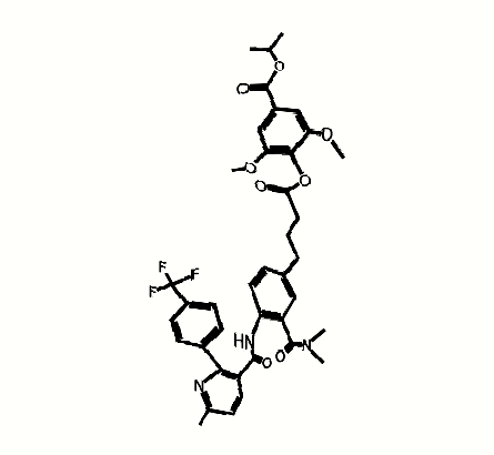 COc1cc(C(=O)OC(C)C)cc(OC)c1OC(=O)CCCc1ccc(NC(=O)c2ccc(C)nc2-c2ccc(C(F)(F)F)cc2)c(C(=O)N(C)C)c1